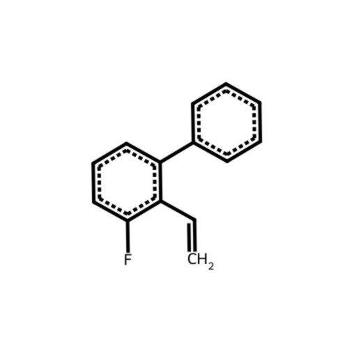 C=Cc1c(F)cccc1-c1ccccc1